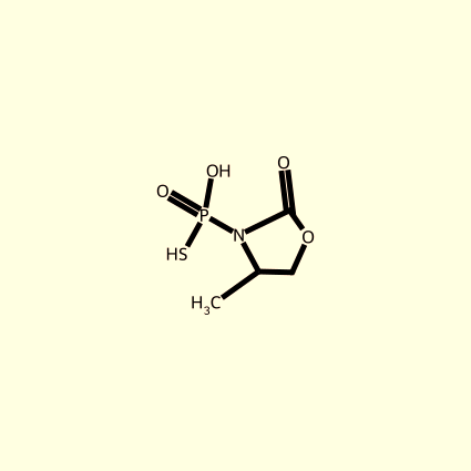 CC1COC(=O)N1P(=O)(O)S